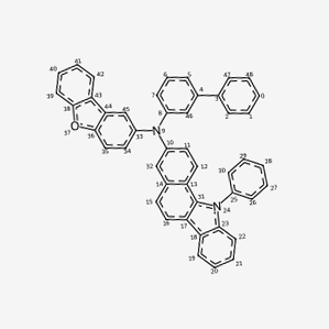 c1ccc(-c2cccc(N(c3ccc4c(ccc5c6ccccc6n(-c6ccccc6)c45)c3)c3ccc4oc5ccccc5c4c3)c2)cc1